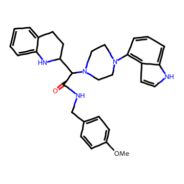 COc1ccc(CNC(=O)C(C2CCc3ccccc3N2)N2CCN(c3cccc4[nH]ccc34)CC2)cc1